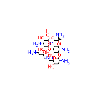 NCCC(O)CNC[C@H]1O[C@H](OC2[C@@H](N)C[C@@H](NC(=O)C3(O)CC3N)[C@H](O[C@H]3O[C@H](CO)[C@@H](O)[C@H](N)[C@H]3O)[C@H]2O)[C@H](N)C[C@@H]1O